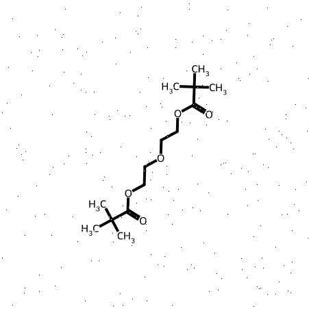 CC(C)(C)C(=O)OCCOCCOC(=O)C(C)(C)C